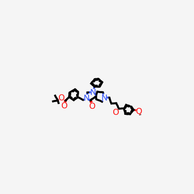 COc1ccc(C(=O)CCCN2CCC3(CC2)C(=O)N(Cc2cccc(C(=O)OC(C)(C)C)c2)CN3c2ccccc2)cc1